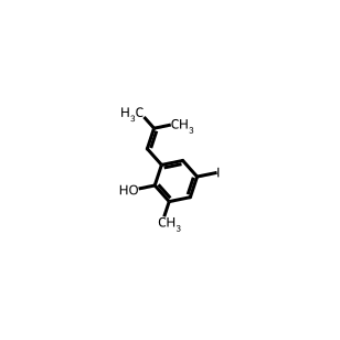 CC(C)=Cc1cc(I)cc(C)c1O